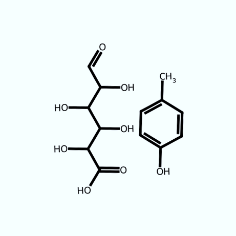 Cc1ccc(O)cc1.O=CC(O)C(O)C(O)C(O)C(=O)O